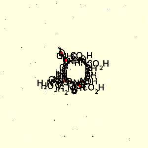 C=CCOC(=O)NCCC[C@@H]1NC(=O)CNC(=O)[C@@H](NC(=O)[C@H](CC(=O)O)NC(=O)[C@H](N)CC(N)=O)[C@@H](C)OC(=O)[C@H](CC(=O)c2ccccc2N)NC(=O)[C@H](C(C)CC(=O)O)NC(=O)[C@@H](CO)NC(=O)CNC(=O)[C@H](CC(=O)O)NC(=O)[C@@H](C)NC(=O)[C@H](CC(=O)O)NC1=O